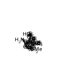 COC(=O)C1(N)CCN(C(=O)[C@@H](CCCCN)NC(=O)C(CCCF)NC(=O)[C@@H](Cc2ccccc2)NC(=O)[C@H](N)Cc2ccccc2)CC1.O=C(O)C(F)(F)F